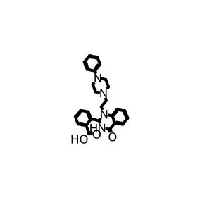 O=C(O)c1ccccc1C1NC(=O)c2ccccc2N1CCN1CCN(c2ccccc2)CC1